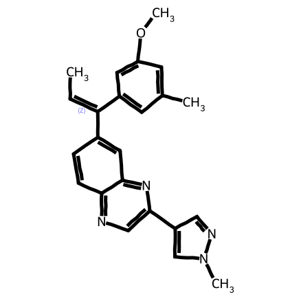 C/C=C(\c1cc(C)cc(OC)c1)c1ccc2ncc(-c3cnn(C)c3)nc2c1